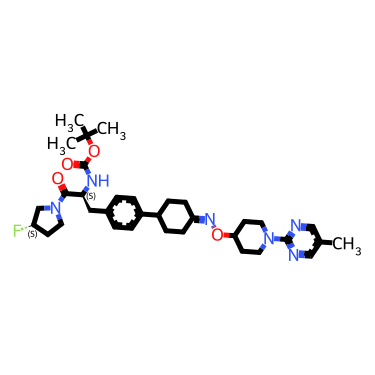 Cc1cnc(N2CCC(ON=C3CCC(c4ccc(C[C@H](NC(=O)OC(C)(C)C)C(=O)N5CC[C@H](F)C5)cc4)CC3)CC2)nc1